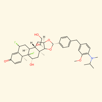 COc1cc(Cc2ccc([C@H]3O[C@@H]4C[C@H]5[C@@H]6C[C@H](F)C7=CC(=O)C=C[C@]7(C)[C@@]6(F)[C@@H](O)C[C@]5(C)[C@]4(C(=O)CO)O3)cc2)ccc1N(C)C(C)C